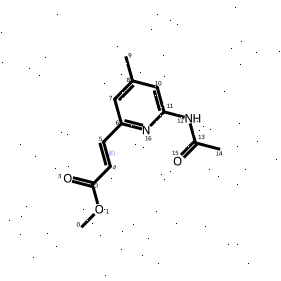 COC(=O)/C=C/c1cc(C)cc(NC(C)=O)n1